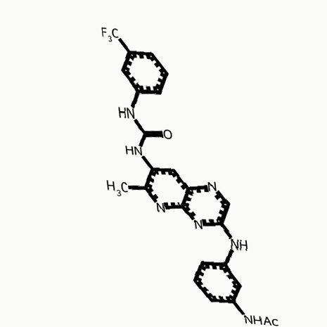 CC(=O)Nc1cccc(Nc2cnc3cc(NC(=O)Nc4cccc(C(F)(F)F)c4)c(C)nc3n2)c1